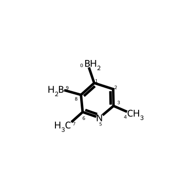 Bc1cc(C)nc(C)c1B